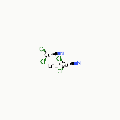 N#[C][Cu-]([Cl])[Cl].N#[C][Cu-]([Cl])[Cl].[Li+].[Li+]